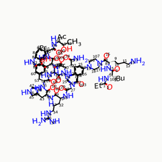 CCC(=O)N[C@H](C(=O)N[C@@H](CCCCN)C(=O)N1CCN(c2ccc3ncn(CC(=O)N[C@@H](CCCNC(=N)N)C(=O)NC(Cc4c[nH]cn4)C(=O)N[C@@H](Cc4ccc(O)cc4)C(=O)NC(CC(C)C)C(=O)N[C@@H](CC(N)=O)C(=O)NC(Cc4c[nH]c5ccccc45)C(=O)N[C@H](C(=O)N[C@H](C(C)=O)[C@@H](C)O)C(C)C)c(=O)c3c2)CC1)[C@@H](C)CC